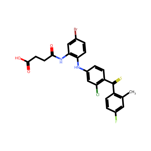 Cc1cc(F)ccc1C(=S)c1ccc(Nc2ccc(Br)cc2NC(=O)CCC(=O)O)cc1Cl